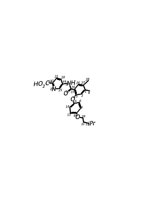 Cc1cc(Oc2ccc(OCCC(C)C)cc2)c(C(=O)Nc2ccc(C(=O)O)nc2)cc1C